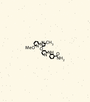 COc1cccc(-n2nc(C)cc2Oc2ccnc(Nc3cccc(C(N)=O)c3)c2)n1